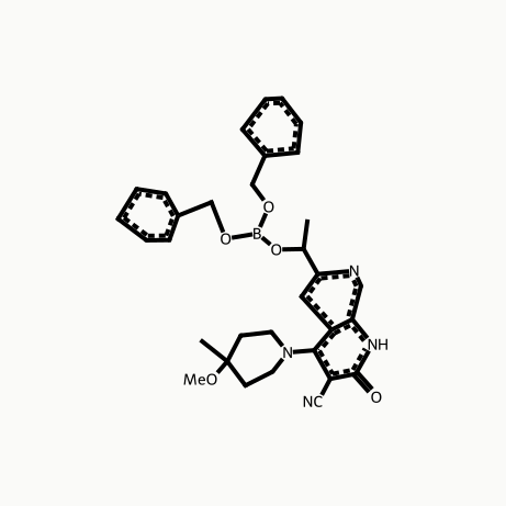 COC1(C)CCN(c2c(C#N)c(=O)[nH]c3cnc(C(C)OB(OCc4ccccc4)OCc4ccccc4)cc23)CC1